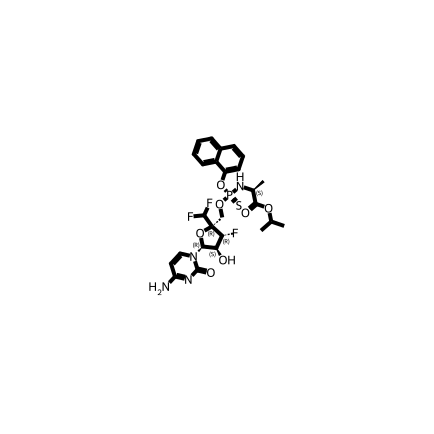 CC(C)OC(=O)[C@H](C)NP(=S)(OC[C@@]1(C(F)F)O[C@@H](n2ccc(N)nc2=O)[C@H](O)[C@H]1F)Oc1cccc2ccccc12